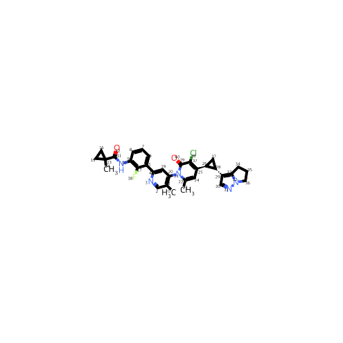 Cc1cnc(-c2cccc(NC(=O)C3(C)CC3)c2F)cc1-n1c(C)cc([C@H]2C[C@@H]2c2cnn3c2CCC3)c(Cl)c1=O